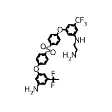 CC(F)(F)c1cc(N)cc(Oc2ccc(S(=O)(=O)c3ccc(Oc4cc(NCCN)cc(C(F)(F)F)c4)cc3)cc2)c1